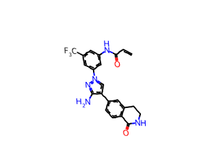 C=CC(=O)Nc1cc(-n2cc(-c3ccc4c(c3)CCNC4=O)c(N)n2)cc(C(F)(F)F)c1